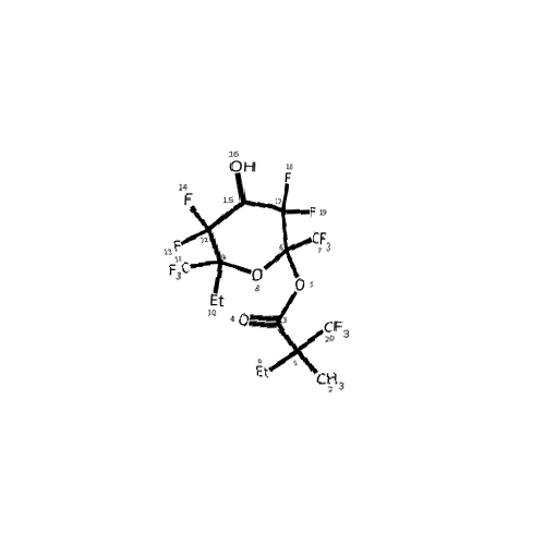 CCC(C)(C(=O)OC1(C(F)(F)F)OC(CC)(C(F)(F)F)C(F)(F)C(O)C1(F)F)C(F)(F)F